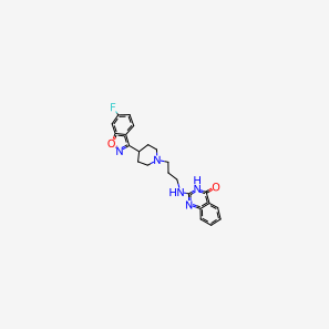 O=c1[nH]c(NCCCN2CCC(c3noc4cc(F)ccc34)CC2)nc2ccccc12